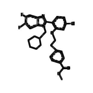 COC(=O)c1ccc(CCOc2cc(Cl)ccc2-c2nc3cc(F)c(F)cc3n2CC2CCCCC2)cc1